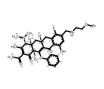 CC(C)OCCNCc1cc(O)c2c(c1F)C[C@H]1C[C@H]3[C@H](N(C)C)C(O)=C(C(N)=O)C(=O)[C@@]3(C)C(Oc3ccccc3)=C1C2=O